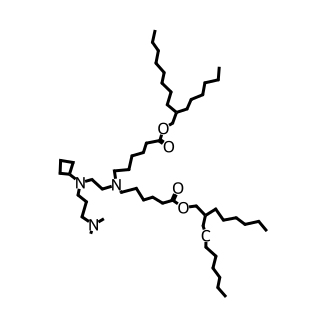 CCCCCCCCC(CCCCCC)COC(=O)CCCCCN(CCCCCC(=O)OCC(CCCCCC)CCCCCCCC)CCN(CCCN(C)C)C1CCC1